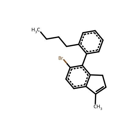 CCCCc1ccccc1-c1c(Br)ccc2c1CC=C2C